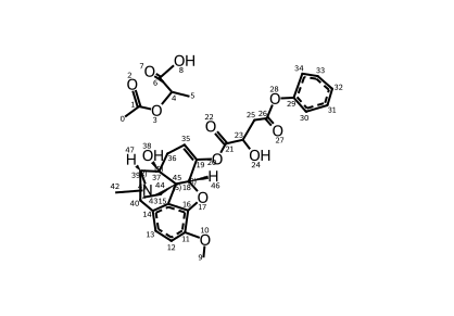 CC(=O)OC(C)C(=O)O.COc1ccc2c3c1O[C@H]1C(OC(=O)C(O)CC(=O)Oc4ccccc4)=CC[C@@]4(O)[C@@H](C2)N(C)CC[C@]314